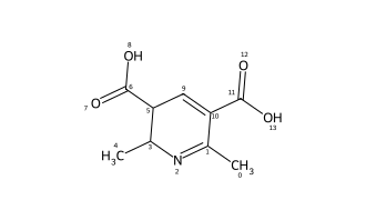 CC1=NC(C)C(C(=O)O)C=C1C(=O)O